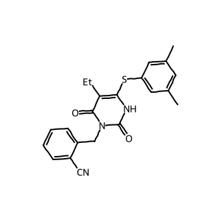 CCc1c(Sc2cc(C)cc(C)c2)[nH]c(=O)n(Cc2ccccc2C#N)c1=O